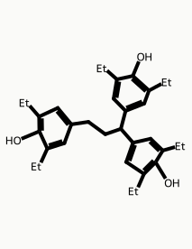 CCc1cc(CCC(c2cc(CC)c(O)c(CC)c2)c2cc(CC)c(O)c(CC)c2)cc(CC)c1O